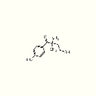 CC(C)(CCO)C(=O)c1ccc(O)cc1